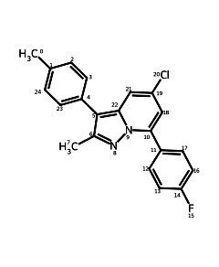 Cc1ccc(-c2c(C)nn3c(-c4ccc(F)cc4)cc(Cl)cc23)cc1